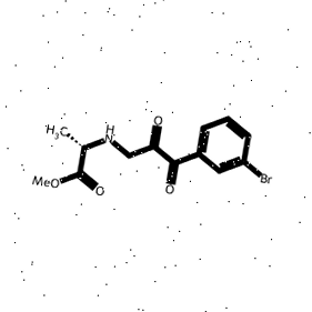 COC(=O)[C@H](C)NCC(=O)C(=O)c1cccc(Br)c1